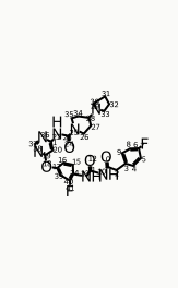 O=C(Cc1ccc(F)cc1)NC(=O)Nc1ccc(Oc2cc(NC(=O)N3CCC(N4CCCC4)CC3)ncn2)cc1F